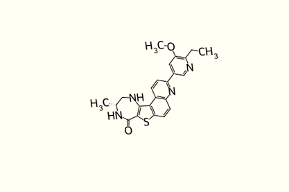 CCc1ncc(-c2ccc3c(ccc4sc5c(c43)NC[C@@H](C)NC5=O)n2)cc1OC